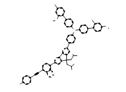 CCCCOc1ccc(-c2ccc(N(c3ccc(-c4cc5c(s4)-c4sc(-c6ccc(C#Cc7ccc(C(=O)O)cc7)c7nsnc67)cc4C5(CC(CC)CCCC)CC(CC)CCCC)cc3)c3ccc(-c4ccc(C)cc4OCCCC)cc3)cc2)c(C)c1